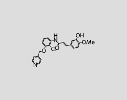 COc1ccc(/C=C/C(=O)Nc2cccc(OCc3ccncc3)c2Cl)cc1O